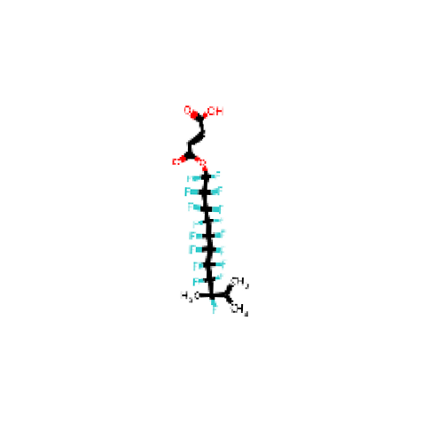 CC(C)C(C)(F)C(F)(F)C(F)(F)C(F)(F)C(F)(F)C(F)(F)C(F)(F)C(F)(F)C(F)(F)OC(=O)/C=C/C(=O)O